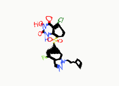 O=c1[nH]c2c(S(=O)(=O)c3cc(F)c4cnn(CCC5CCC5)c4c3)ccc(Cl)c2c(=O)n1O